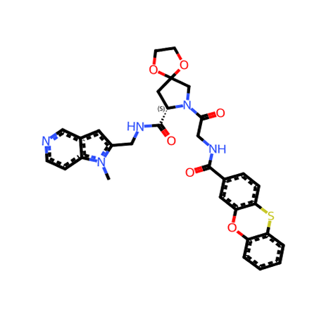 Cn1c(CNC(=O)[C@@H]2CC3(CN2C(=O)CNC(=O)c2ccc4c(c2)Oc2ccccc2S4)OCCO3)cc2cnccc21